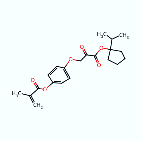 C=C(C)C(=O)Oc1ccc(OCC(=O)C(=O)OC2(C(C)C)CCCC2)cc1